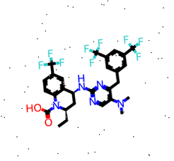 CC[C@@H]1C[C@H](Nc2ncc(N(C)C)c(Cc3cc(C(F)(F)F)cc(C(F)(F)F)c3)n2)c2cc(C(F)(F)F)ccc2N1C(=O)O